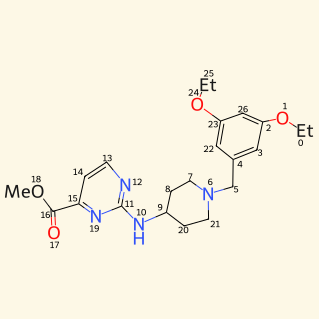 CCOc1cc(CN2CCC(Nc3nccc(C(=O)OC)n3)CC2)cc(OCC)c1